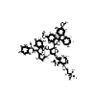 COc1ccc(C(OC[C@H]2O[C@@H](n3cnc4c(OCC[Si](C)(C)C)ncnc43)C[C@@H]2OP2OC(C[Si](C)(c3ccccc3)c3ccccc3)C3CCCN32)(c2ccccc2)c2ccc(OC)cc2)cc1